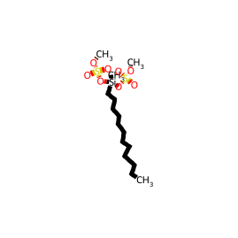 CCCCCCCCCCCC[Si](C)(OS(=O)(=O)OC)OS(=O)(=O)OC